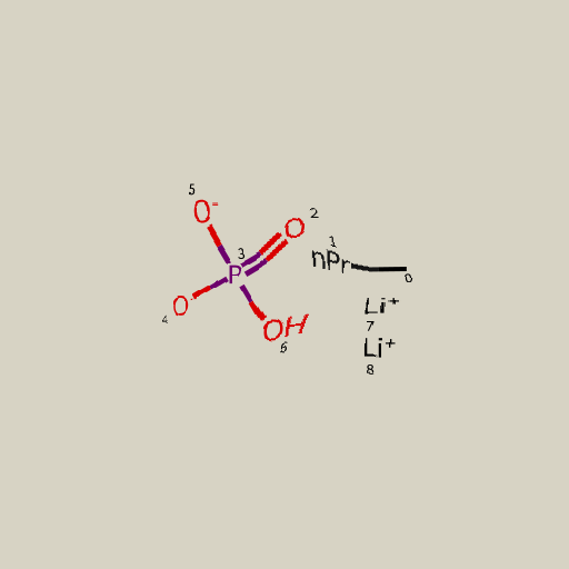 CCCC.O=P([O-])([O-])O.[Li+].[Li+]